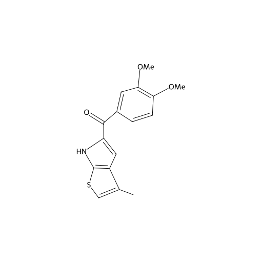 COc1ccc(C(=O)c2cc3c(C)csc3[nH]2)cc1OC